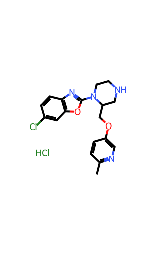 Cc1ccc(OCC2CNCCN2c2nc3ccc(Cl)cc3o2)cn1.Cl